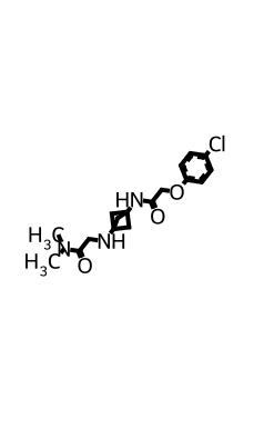 CN(C)C(=O)CNC12CC(NC(=O)COc3ccc(Cl)cc3)(C1)C2